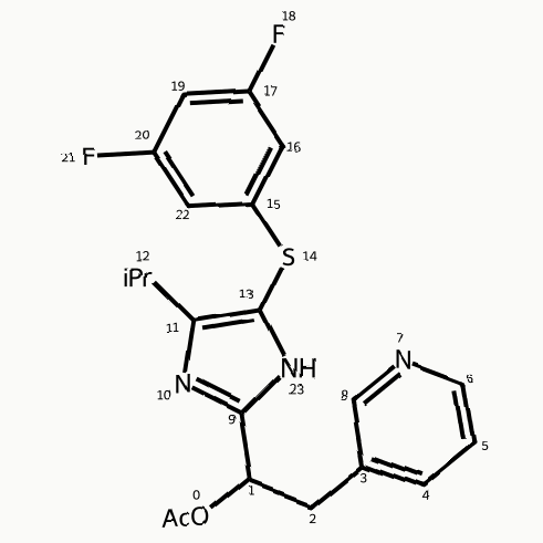 CC(=O)OC(Cc1cccnc1)c1nc(C(C)C)c(Sc2cc(F)cc(F)c2)[nH]1